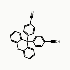 C#Cc1ccc(C2(c3ccc(C#C)cc3)c3ccccc3Oc3ccccc32)cc1